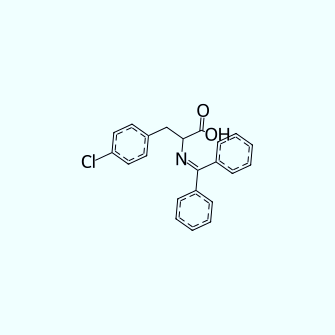 O=C(O)C(Cc1ccc(Cl)cc1)N=C(c1ccccc1)c1ccccc1